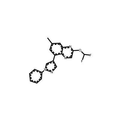 Cc1cc(-c2cnn(-c3ccccc3)c2)c2ncc(OC(F)F)nc2c1